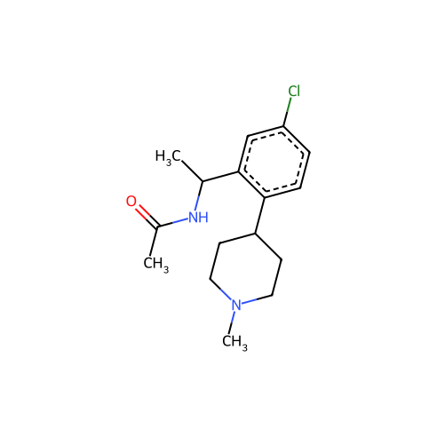 CC(=O)NC(C)c1cc(Cl)ccc1C1CCN(C)CC1